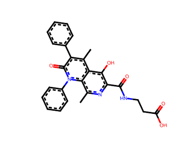 Cc1c(-c2ccccc2)c(=O)n(-c2ccccc2)c2c(C)nc(C(=O)NCCC(=O)O)c(O)c12